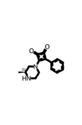 C[C@H]1CN(c2c(-c3ccccc3)c(=O)c2=O)CCN1